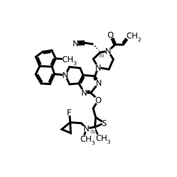 C=CC(=O)N1CCN(c2nc(OCC3S[C@]3(C)N(C)CC3(F)CC3)nc3c2CCN(c2cccc4cccc(C)c24)C3)C[C@@H]1CC#N